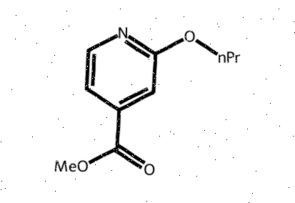 CCCOc1cc(C(=O)OC)ccn1